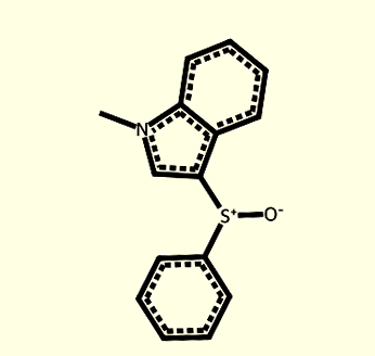 Cn1cc([S+]([O-])c2ccccc2)c2ccccc21